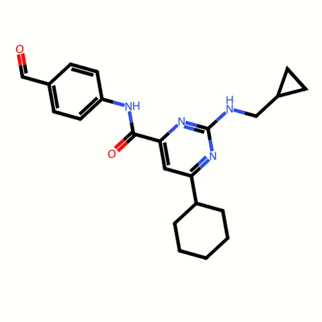 O=Cc1ccc(NC(=O)c2cc(C3CCCCC3)nc(NCC3CC3)n2)cc1